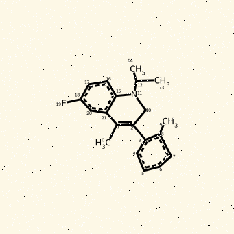 CC1=C(c2ccccc2C)CN(C(C)C)c2ccc(F)cc21